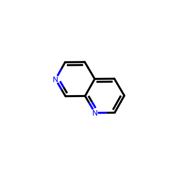 c1cnc2cnccc2c1